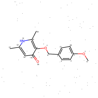 COc1ccc(COc2c(C)[nH]c(C)cc2=O)cc1